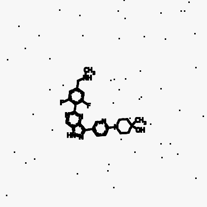 CNCc1cc(F)c(-c2ncc3[nH]nc(-c4ccc(N5CCC(C)(O)CC5)nc4)c3n2)c(F)c1